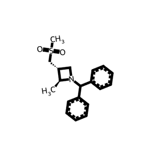 C[C@H]1[C@H](CS(C)(=O)=O)CN1C(c1ccccc1)c1ccccc1